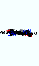 COC(=O)N[C@H](C(=O)N1CCC[C@H]1c1nc2cc(-c3ccc(-c4ccc5[nH]c([C@@H]6CCCN6C(=O)[C@@H](NC(=O)OC)C(C)C)nc5c4)c(C#N)n3)ccc2[nH]1)C(C)C